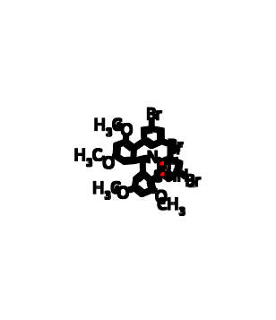 COc1cc(OC)c(-c2cc(Br)cc(Br)c2)c(C(=NNC(N)=S)c2cc(OC)cc(OC)c2-c2cc(Br)cc(Br)c2)c1